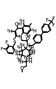 [2H]C1=C(SCc2cccc(F)c2F)N(CC(=O)N(Cc2ccc(-c3ccc(C(F)(F)F)cc3)cc2)C2([2H])C([2H])([2H])C([2H])([2H])N(C([2H])([2H])COC)C([2H])([2H])C2([2H])[2H])c2c([2H])c([2H])c(C)c([2H])c2C1O